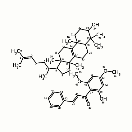 CC(C)=CCCC(C)C1CCC2(C)C3=C(CCC12C)C1(C)CCC(O)C(C)(C)C1CC3.COc1cc(O)c(C(=O)C=Cc2ccccc2)c(OC)c1